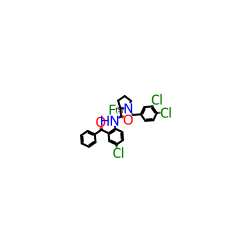 O=C(c1ccccc1)c1cc(Cl)ccc1NC(=O)[C@@]1(F)CCCN1Cc1ccc(Cl)c(Cl)c1